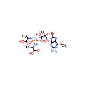 COc1nc(N)nc2c1nc(Br)n2[C@@H]1O[C@H](COP(=O)(NC(C)C(=O)O)NC(C)C(=O)O)[C@@H](O)[C@@]1(C)O